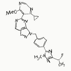 COc1ncnc(C2CC2)c1-c1ncc2cnn(Cc3ccc(-c4nc(C(C)F)nn4C)cc3)c2n1